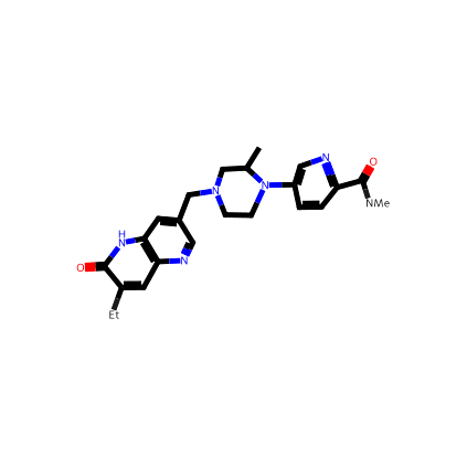 CCc1cc2ncc(CN3CCN(c4ccc(C(=O)NC)nc4)C(C)C3)cc2[nH]c1=O